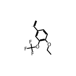 C=[C]c1ccc(OCC)c(OC(F)(F)F)c1